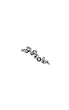 COC(=O)c1cccc(OC(=O)N2CCCC3C2CCN3c2ncnc3[nH]ccc23)c1